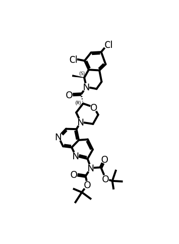 C[C@H]1c2c(Cl)cc(Cl)cc2CCN1C(=O)[C@H]1CN(c2cncc3nc(N(C(=O)OC(C)(C)C)C(=O)OC(C)(C)C)ccc23)CCO1